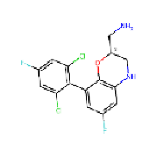 NC[C@H]1CNc2cc(F)cc(-c3c(Cl)cc(F)cc3Cl)c2O1